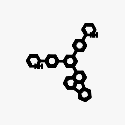 C1=CCNC(c2ccc(-c3cc(-c4ccc(C5C=CC=CN5)cc4)cc(-c4ccc5c6c(cccc46)-c4ccccc4-5)c3)cc2)=C1